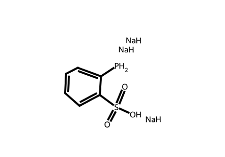 O=S(=O)(O)c1ccccc1P.[NaH].[NaH].[NaH]